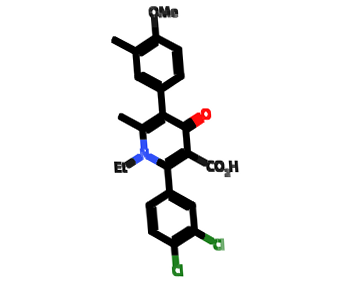 CCn1c(C)c(-c2ccc(OC)c(C)c2)c(=O)c(C(=O)O)c1-c1ccc(Cl)c(Cl)c1